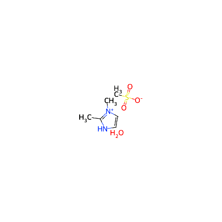 CS(=O)(=O)[O-].Cc1[nH]cc[n+]1C.O